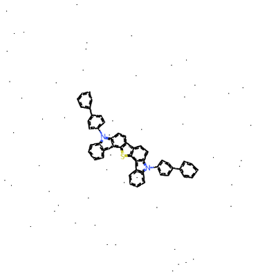 c1ccc(-c2ccc(-n3c4ccccc4c4c5sc6c(ccc7c6c6ccccc6n7-c6ccc(-c7ccccc7)cc6)c5ccc43)cc2)cc1